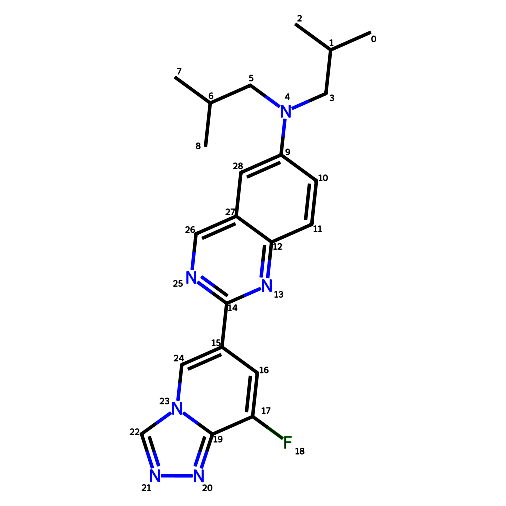 CC(C)CN(CC(C)C)c1ccc2nc(-c3cc(F)c4nncn4c3)ncc2c1